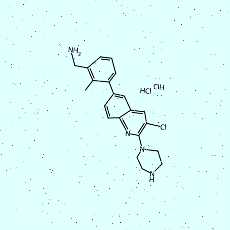 Cc1c(CN)cccc1-c1ccc2nc(N3CCNCC3)c(Cl)cc2c1.Cl.Cl